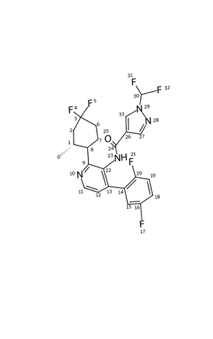 C[C@@H]1CC(F)(F)CCC1c1nccc(-c2cc(F)ccc2F)c1NC(=O)c1cnn(C(F)F)c1